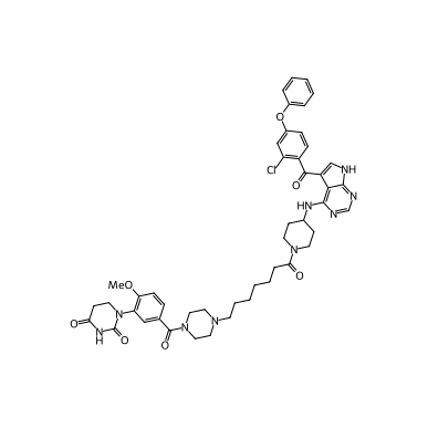 COc1ccc(C(=O)N2CCN(CCCCCCC(=O)N3CCC(Nc4ncnc5[nH]cc(C(=O)c6ccc(Oc7ccccc7)cc6Cl)c45)CC3)CC2)cc1N1CCC(=O)NC1=O